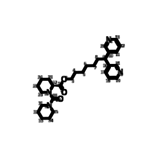 O=C(OCCCCCCC(c1cccnc1)c1cccnc1)[C@@H]1CCCCN1C(=O)N1CCCCC1